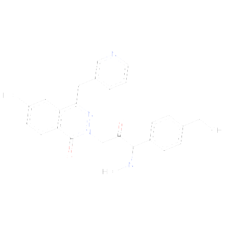 CCc1ccc(C(NC)C(=O)Cn2nc(Cc3cccnc3)c3cc(C)ccc3c2=O)cc1